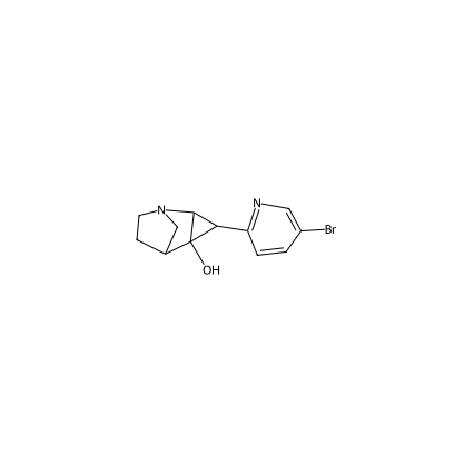 OC12C3CCN(C3)C1C2c1ccc(Br)cn1